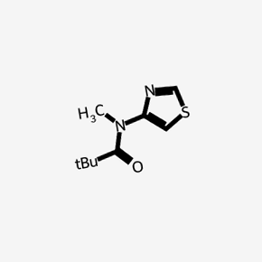 CN(C(=O)C(C)(C)C)c1cscn1